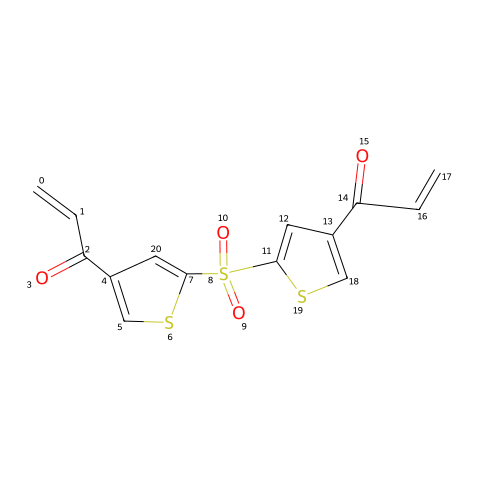 C=CC(=O)c1csc(S(=O)(=O)c2cc(C(=O)C=C)cs2)c1